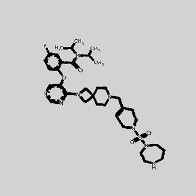 CC(C)N(C(=O)c1cc(F)ccc1Oc1cncnc1N1CC2(CCN(CC3=CCN(S(=O)(=O)N4CCCNCC4)CC3)CC2)C1)C(C)C